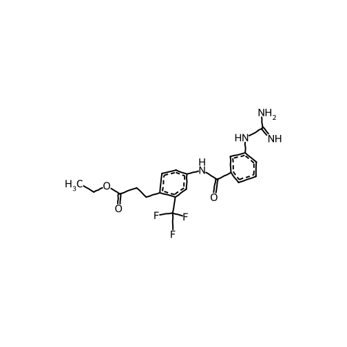 CCOC(=O)CCc1ccc(NC(=O)c2cccc(NC(=N)N)c2)cc1C(F)(F)F